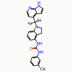 [2H]C([2H])(c1ccnc2[nH]ccc12)N1CCc2c(NC(=O)Nc3cccc(C#N)c3)cccc21